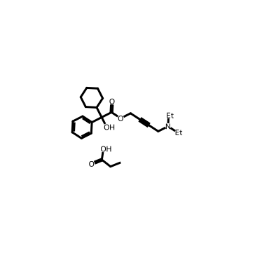 CCC(=O)O.CCN(CC)CC#CCOC(=O)C(O)(c1ccccc1)C1CCCCC1